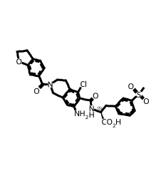 CS(=O)(=O)c1cccc(C[C@H](NC(=O)c2c(N)cc3c(c2Cl)CCN(C(=O)c2ccc4c(c2)OCC4)C3)C(=O)O)c1